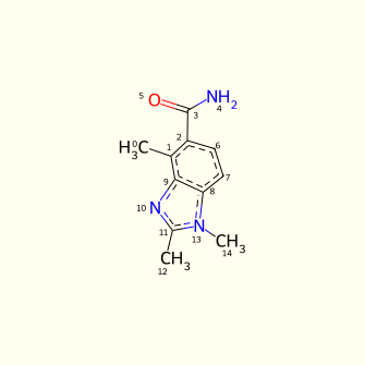 Cc1c(C(N)=O)ccc2c1nc(C)n2C